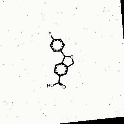 O=C(O)c1ccc2c(c1)COC2c1ccc(F)cc1